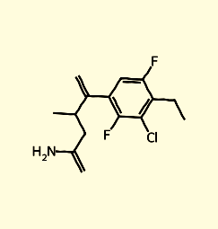 C=C(N)CC(C)C(=C)c1cc(F)c(CC)c(Cl)c1F